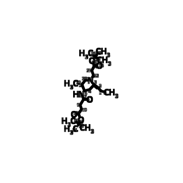 CC/C=C1\CC(NC(=O)CCC(=O)OC(C)(C)C)[C@H](C)CN1CCC(=O)OC(C)(C)C